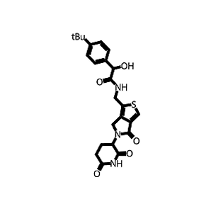 CC(C)(C)c1ccc(C(O)C(=O)NCc2scc3c2CN(C2CCC(=O)NC2=O)C3=O)cc1